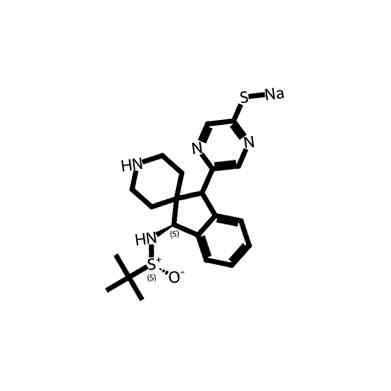 CC(C)(C)[S@@+]([O-])N[C@@H]1c2ccccc2C(c2cnc([S][Na])cn2)C12CCNCC2